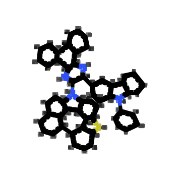 c1ccc(-n2c3ccccc3c3cc(-c4nc5c6ccccc6c6ccccc6c5nc4-n4c5ccc6cccc7c6c5c5c6c(ccc54)sc4cccc-7c46)ccc32)cc1